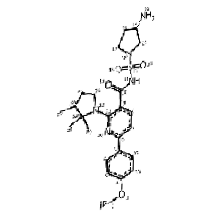 CC(C)Oc1ccc(-c2ccc(C(=O)NS(=O)(=O)N3CC[C@H](N)C3)c(N3CCC(C)C3(C)C)n2)cc1